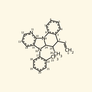 C=CC1c2ccccc2N2c3ncccc3N(c3ccccc3C(F)(F)F)C2C1C